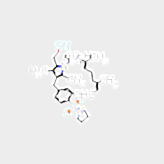 CC(C)=CCC/C(C)=C\C=O.Cc1c(Cc2ccc(S(=O)(=O)N3CCCC3)cc2)c(C)n(CC(=O)O)c1CCO